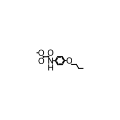 CCCCOc1ccc(NC(=O)C(=O)OC)cc1